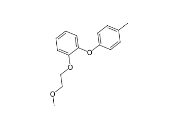 COCCOc1ccccc1Oc1ccc(C)cc1